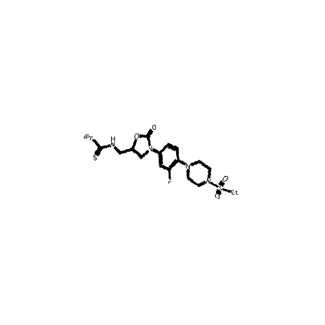 CCS(=O)(=O)N1CCN(c2ccc(N3CC(CNC(=S)C(C)C)OC3=O)cc2F)CC1